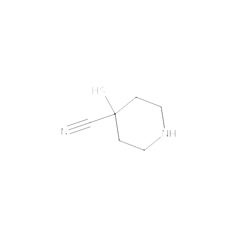 N#CC1(S)CCNCC1